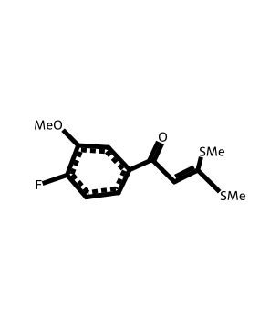 COc1cc(C(=O)C=C(SC)SC)ccc1F